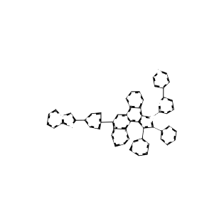 c1ccc(-c2c(-c3ccccc3)n(-c3cccc(-c4ccncc4)n3)c3c4ccccc4c4cc(-c5ccc(-c6cn7ccccc7n6)cc5)c5ccccc5c4c23)cc1